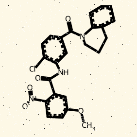 COc1ccc([N+](=O)[O-])c(C(=O)Nc2cc(C(=O)N3CCCc4ccccc43)ccc2Cl)c1